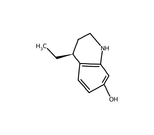 CC[C@H]1CCNc2cc(O)ccc21